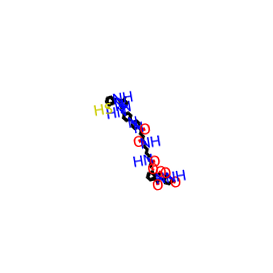 Cc1cnc(Nc2ccc(N3CCN(C(=O)CCC(=O)NCCCCNC(=O)COc4cccc5c4C(=O)N(C4CCC(=O)NC4=O)C5=O)CC3)cc2)nc1Nc1cccc(S)c1